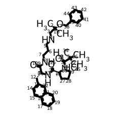 CC(C)(CNCCCNC(=O)[C@@H](Cc1ccc2ccccc2c1)NC(=O)[C@@H]1CCCN1C(=O)C(C)(C)C)OCc1ccccc1.Cl